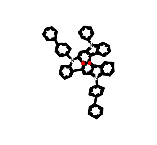 c1ccc(-c2ccc(N(c3ccc4c5ccccc5n(-c5ccccc5)c4c3)c3ccccc3-c3ccc4c5ccccc5n(-c5ccc(-c6ccccc6)cc5)c4c3)cc2)cc1